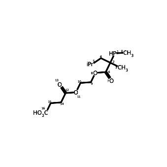 CPC(C)(CC(C)C)C(=O)OCCOC(=O)CCC(=O)O